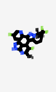 Cc1nc2[nH]ncc2c(-c2c(-c3ccc(F)cn3)nn3c2CC[C@H]2[C@@H]3C2(F)F)c1F